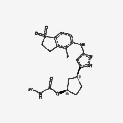 CC(C)NC(=O)O[C@@H]1CC[C@H](c2cc(Nc3ccc4c(c3F)CCS4(=O)=O)n[nH]2)C1